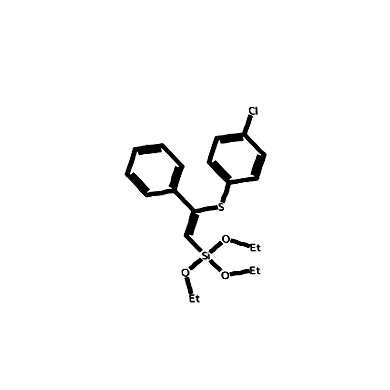 CCO[Si](/C=C(\Sc1ccc(Cl)cc1)c1ccccc1)(OCC)OCC